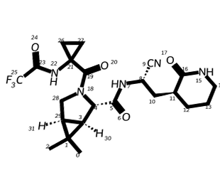 CC1(C)[C@@H]2[C@@H](C(=O)N[C@H](C#N)C[C@@H]3CCCNC3=O)N(C(=O)C3(NC(=O)C(F)(F)F)CC3)C[C@@H]21